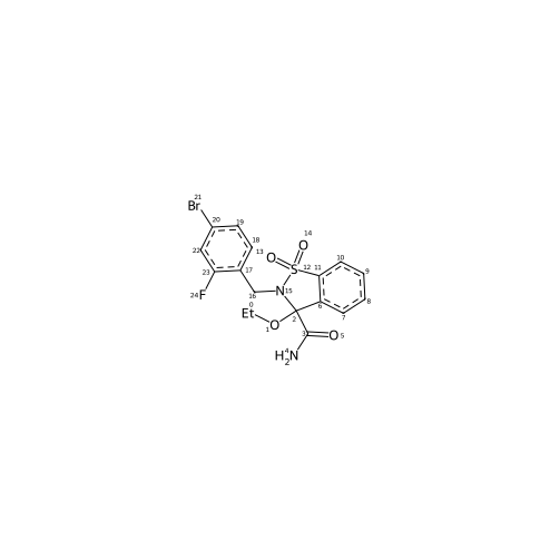 CCOC1(C(N)=O)c2ccccc2S(=O)(=O)N1Cc1ccc(Br)cc1F